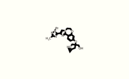 Cc1nc(-c2cn3c(n2)-c2ccc(OC(CO)(CO)CC4CC4)cc2OCC3)n(C(C)C)n1